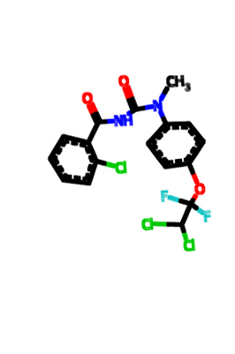 CN(C(=O)NC(=O)c1ccccc1Cl)c1ccc(OC(F)(F)C(Cl)Cl)cc1